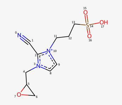 N#Cc1n(CC2CO2)cc[n+]1CCCS(=O)(=O)O